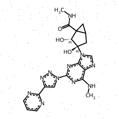 CNC(=O)C12CC1C[C@](O)(n1cnc3c(NC)nc(-n4cc(-c5ncccn5)nn4)nc31)[C@@H]2O